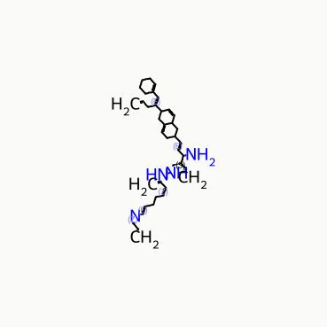 C=C/C=N\C=C\CC/C=C\C(=C)NNC[C@H](C=C)C(N)/C=C/C1CC=C2CC(/C(=C/C3=CCCCC3)CC=C)C=CC2C1